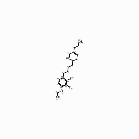 CCCC1=CCC(CCCCc2ccc(OCC)c(F)c2F)OC1